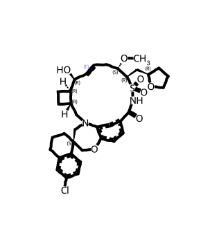 CO[C@H]1C/C=C/[C@H](O)[C@@H]2CC[C@H]2CN2C[C@@]3(CCCc4cc(Cl)ccc43)COc3ccc(cc32)C(=O)NS(=O)(=O)[C@@H]1C[C@H]1CCCO1